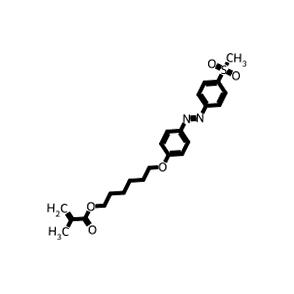 C=C(C)C(=O)OCCCCCCOc1ccc(N=Nc2ccc(S(C)(=O)=O)cc2)cc1